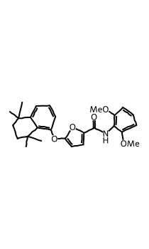 COc1cccc(OC)c1NC(=O)c1ccc(Oc2cccc3c2C(C)(C)CCC3(C)C)o1